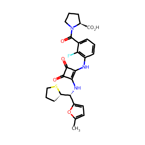 Cc1ccc([C@@H](Nc2c(Nc3cccc(C(=O)N4CCC[C@H]4C(=O)O)c3F)c(=O)c2=O)[C@@H]2CCCS2)o1